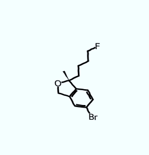 C[C@]1(CCCCF)OCc2cc(Br)ccc21